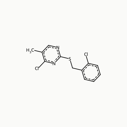 Cc1cnc(SCc2ccccc2Cl)nc1Cl